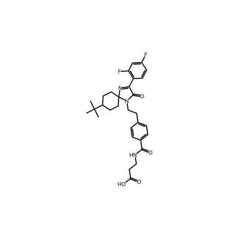 CC(C)(C)C1CCC2(CC1)N=C(c1ccc(F)cc1F)C(=O)N2CCc1ccc(C(=O)NCCC(=O)O)cc1